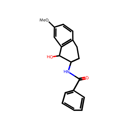 COc1ccc2c(c1)C(O)C(NC(=O)c1ccccc1)CC2